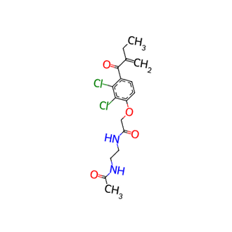 C=C(CC)C(=O)c1ccc(OCC(=O)NCCNC(C)=O)c(Cl)c1Cl